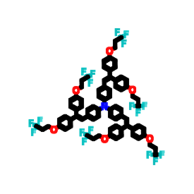 FC(F)(F)CCOc1ccc(C(=Cc2ccc(N(c3ccc(C=C(c4ccc(OCCC(F)(F)F)cc4)c4ccc(OCCC(F)(F)F)cc4)cc3)c3ccc(C=C(c4ccc(OCCC(F)(F)F)cc4)c4ccc(OCCC(F)(F)F)cc4)cc3)cc2)c2ccc(OCCC(F)(F)F)cc2)cc1